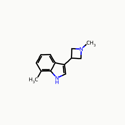 Cc1cccc2c(C3CN(C)C3)c[nH]c12